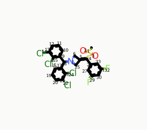 CS(=O)(=O)C(=C1CN(C(c2cccc(Cl)c2Cl)c2cccc(Cl)c2Cl)C1)c1cc(F)cc(F)c1